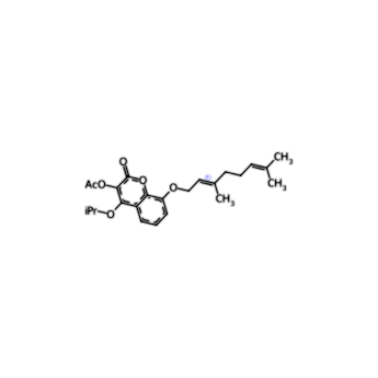 CC(=O)Oc1c(OC(C)C)c2cccc(OC/C=C(\C)CCC=C(C)C)c2oc1=O